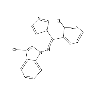 Clc1ccccc1C(=Nn1cc(Cl)c2ccccc21)n1ccnc1